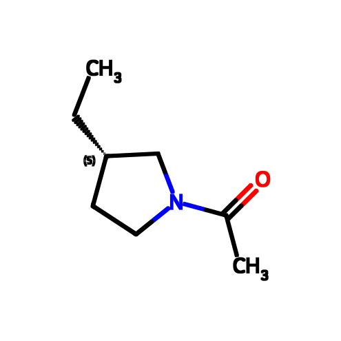 CC[C@H]1CCN(C(C)=O)C1